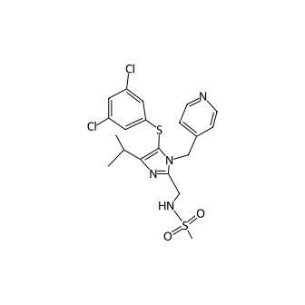 CC(C)c1nc(CNS(C)(=O)=O)n(Cc2ccncc2)c1Sc1cc(Cl)cc(Cl)c1